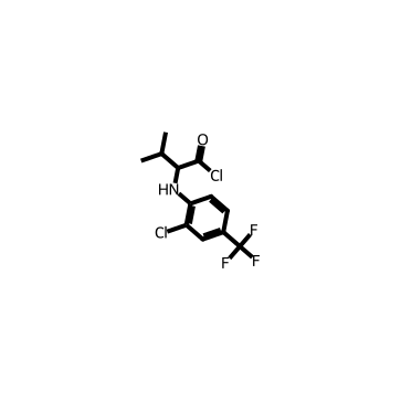 CC(C)C(Nc1ccc(C(F)(F)F)cc1Cl)C(=O)Cl